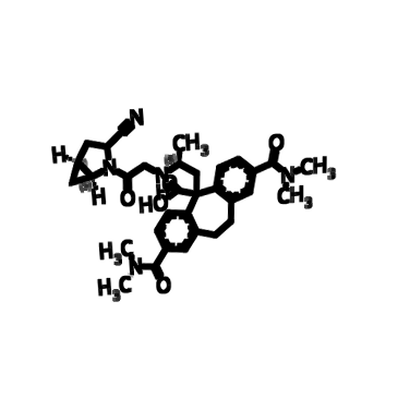 C[C@@H](CC1(C(=O)O)c2ccc(C(=O)N(C)C)cc2CCc2cc(C(=O)N(C)C)ccc21)NCC(=O)N1C(C#N)C[C@@H]2C[C@@H]21